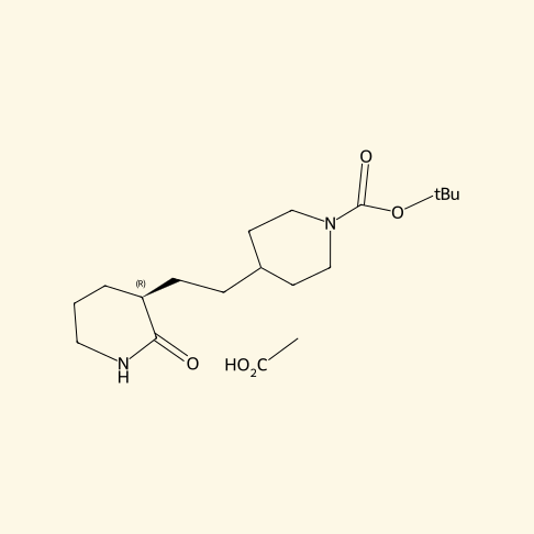 CC(=O)O.CC(C)(C)OC(=O)N1CCC(CC[C@@H]2CCCNC2=O)CC1